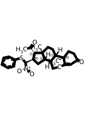 CC(=O)[C@H]1[C@H](C(Sc2ccccc2)[N+](=O)[O-])C[C@H]2[C@@H]3CCC4=CC(=O)CC[C@]4(C)[C@H]3CC[C@@]21C